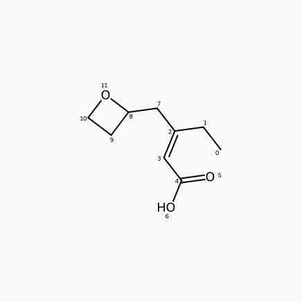 CCC(=CC(=O)O)CC1CCO1